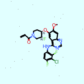 C=CC(=O)N1CC[C@H](Oc2cc3c(Nc4ccc(F)c(Cl)c4F)ncnc3cc2OC)[C@H](F)C1